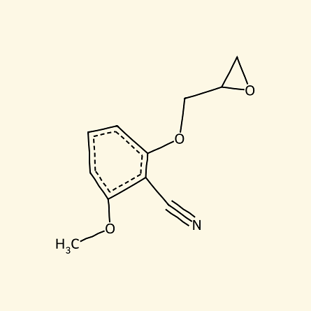 COc1cccc(OCC2CO2)c1C#N